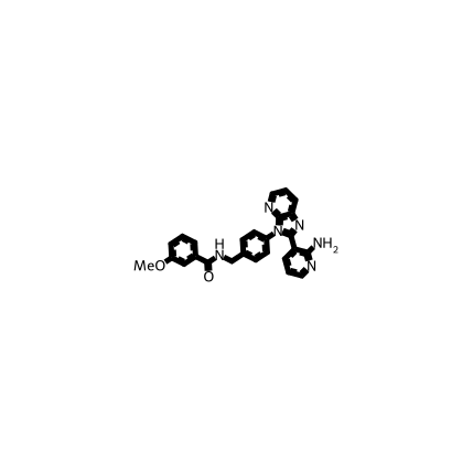 COc1cccc(C(=O)NCc2ccc(-n3c(-c4cccnc4N)nc4cccnc43)cc2)c1